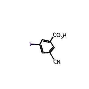 N#Cc1cc(I)cc(C(=O)O)c1